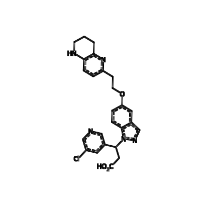 O=C(O)CC(c1cncc(Cl)c1)n1ncc2cc(OCCc3ccc4c(n3)CCCN4)ccc21